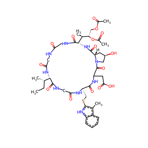 CC[C@H](C)[C@@H]1NC(=O)CNC(=O)CNC(=O)[C@H]([C@@H](C)[C@H](COC(C)=O)OC(C)=O)NC(=O)[C@@H]2C[C@@H](O)CN2C(=O)C(CC(=O)O)NC(=O)[C@H](CSc2[nH]c3ccccc3c2C)NC(=O)CNC1=O